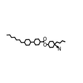 CCCCCCCC1CCC(C2CCC(C(=O)OC3CCC(C#N)(CCCC)CC3)CC2)CC1